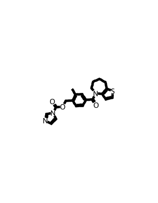 Cc1cc(C(=O)N2CCCCc3sccc32)ccc1COC(=O)n1ccnc1